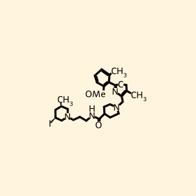 COc1cccc(C)c1C1=NC(CN2CCC(C(=O)NCCCN3C[C@H](C)C[C@H](I)C3)CC2)=C(C)CC1